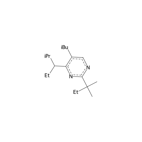 CCC(C)c1cnc(C(C)(C)CC)nc1C(CC)C(C)C